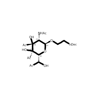 CCCCCCCCCCCCO[C@H]1O[C@H](C(O)C(C)=O)[C@](O)(C(C)=O)[C@@](O)(C(C)=O)[C@@H]1NC(C)=O